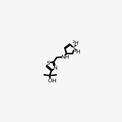 [2H]S1([2H])C=CC(NCc2nc(C(C)(C)O)cs2)C1